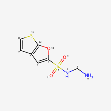 NCNS(=O)(=O)c1cc2ccsc2o1